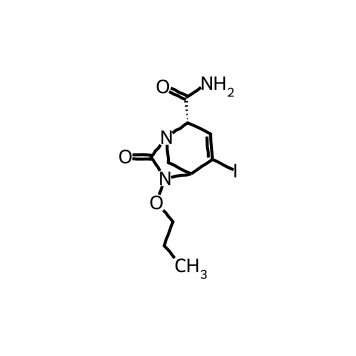 CCCON1C(=O)N2CC1C(I)=C[C@H]2C(N)=O